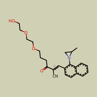 CC1CN1c1c(/C=C(\C#N)C(=O)CCCOCCOCCO)ccc2ccccc12